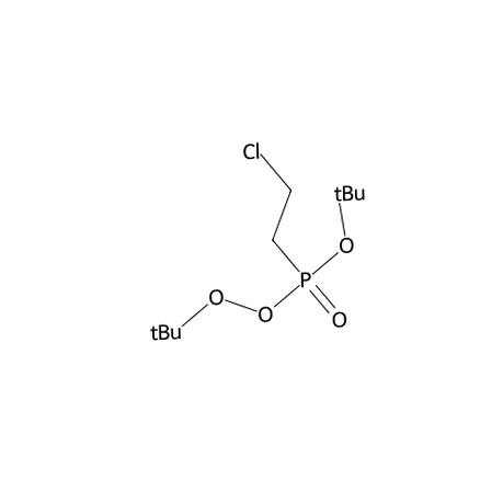 CC(C)(C)OOP(=O)(CCCl)OC(C)(C)C